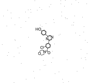 O=C(c1ccc(-c2cncc(-c3ccc(O)cc3)n2)cc1Cl)N1CCOCC1